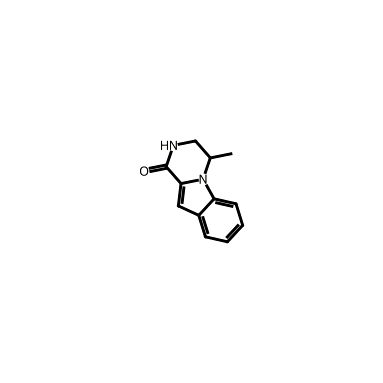 CC1CNC(=O)c2cc3ccccc3n21